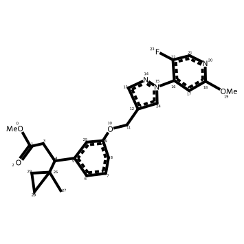 COC(=O)CC(c1cccc(OCc2cnn(-c3cc(OC)ncc3F)c2)c1)C1(C)CC1